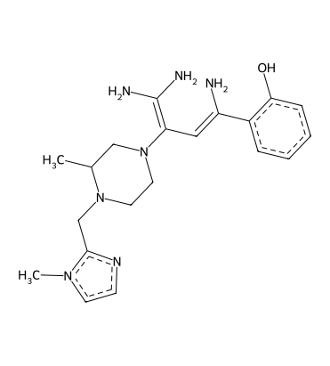 CC1CN(C(/C=C(\N)c2ccccc2O)=C(N)N)CCN1Cc1nccn1C